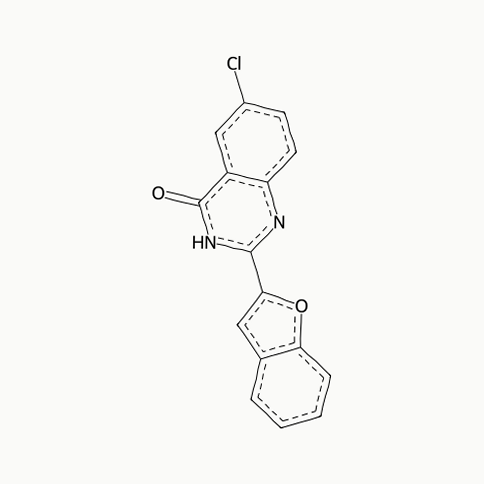 O=c1[nH]c(-c2cc3ccccc3o2)nc2ccc(Cl)cc12